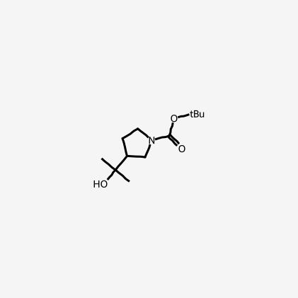 CC(C)(C)OC(=O)N1CCC(C(C)(C)O)C1